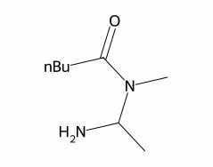 CCCCC(=O)N(C)C(C)N